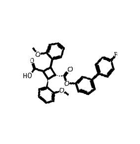 COc1ccccc1C1C(C(=O)O)[C@H](c2ccccc2OC)[C@H]1C(=O)Oc1cccc(-c2ccc(F)cc2)c1